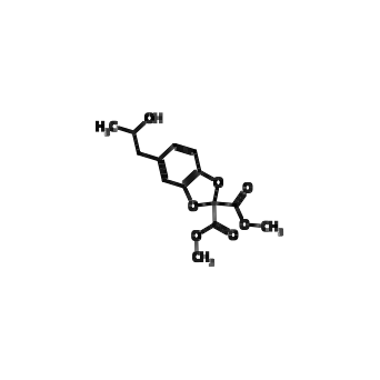 COC(=O)C1(C(=O)OC)Oc2ccc(CC(C)O)cc2O1